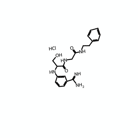 Cl.N=C(N)c1cccc(NC(CO)C(=O)NCC(=O)NCCc2ccccc2)c1